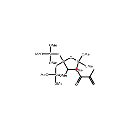 C=C(C)C(=O)OC(C)[Si](O[Si](OC)(OC)OC)(O[Si](OC)(OC)OC)O[Si](OC)(OC)OC